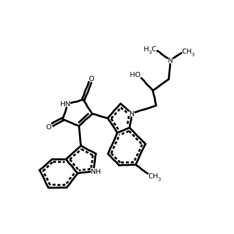 Cc1ccc2c(C3=C(c4c[nH]c5ccccc45)C(=O)NC3=O)cn(CC(O)CN(C)C)c2c1